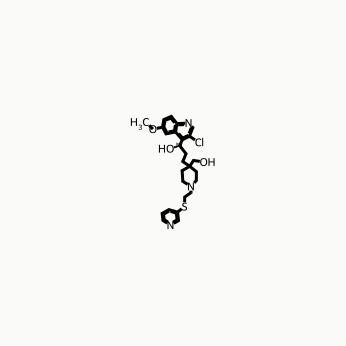 COc1ccc2ncc(Cl)c([C@H](O)CCC3(CO)CCN(CCSc4cccnc4)CC3)c2c1